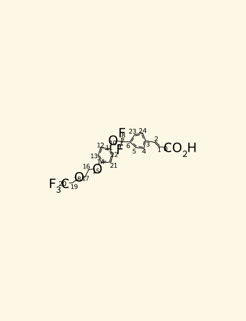 O=C(O)C=Cc1ccc(C(F)(F)Oc2ccc(OCCOCC(F)(F)F)cc2)cc1